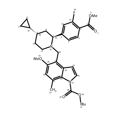 COC(=O)c1ccc([C@@H]2C[C@@H](C3CC3)CCN2Cc2c(OC)cc(C)c3c2ccn3C(=O)OC(C)(C)C)cc1F